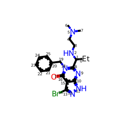 CCC(NCCN(C)C)c1nc2[nH]nc(Br)c2c(=O)n1Cc1ccccc1